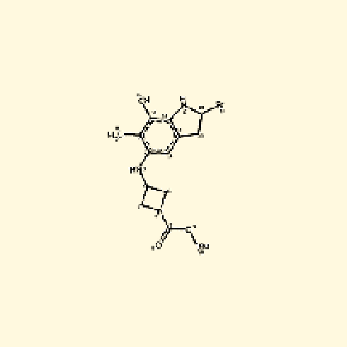 Cc1c(NC2CN(C(=O)OC(C)(C)C)C2)cc2c(c1C#N)NC(Br)C2